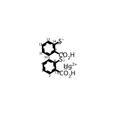 O=C(O)c1ccccc1[S-].O=C(O)c1ccccc1[S-].[Hg+2]